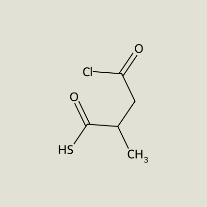 CC(CC(=O)Cl)C(=O)S